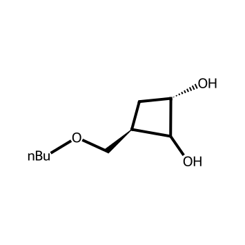 CCCCOC[C@H]1C[C@H](O)C1O